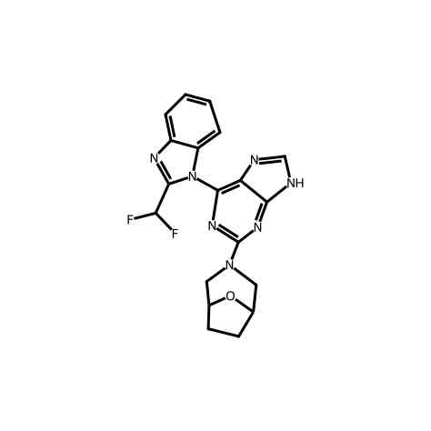 FC(F)c1nc2ccccc2n1-c1nc(N2CC3CCC(C2)O3)nc2[nH]cnc12